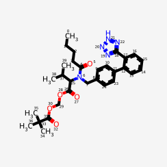 CCCCC(=O)N(Cc1ccc(-c2ccccc2-c2nn[nH]n2)cc1)C(C(=O)OCOC(=O)C(C)(C)C)C(C)C